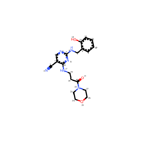 N#Cc1cnc(NCc2ccccc2O)nc1NCCC(=O)N1CCOCC1